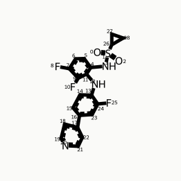 O=S(=O)(Nc1ccc(F)c(F)c1Nc1ccc(-c2ccncc2)cc1F)C1CC1